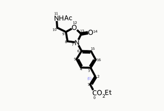 CCOC(=O)/C=C/c1ccc(N2CC(CNC(C)=O)OC2=O)cc1